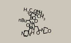 CCCCC(NC(=O)C(CC(=O)N1CCOCC1)NC(=O)c1cnccn1)B1OC(C)(C)C(C)(C)O1